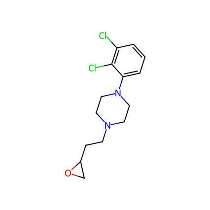 Clc1cccc(N2CCN(CCC3CO3)CC2)c1Cl